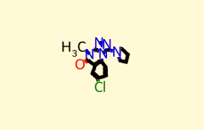 Cn1c(=O)c2cc(Cl)ccc2n2c(N3CCCC3)nnc12